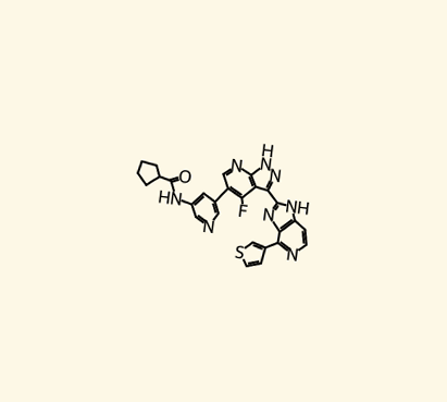 O=C(Nc1cncc(-c2cnc3[nH]nc(-c4nc5c(-c6ccsc6)nccc5[nH]4)c3c2F)c1)C1CCCC1